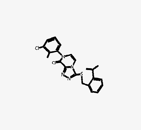 Cc1c(Cl)cccc1-n1ccn2c(SCc3ccccc3C(C)C)nnc2c1=O